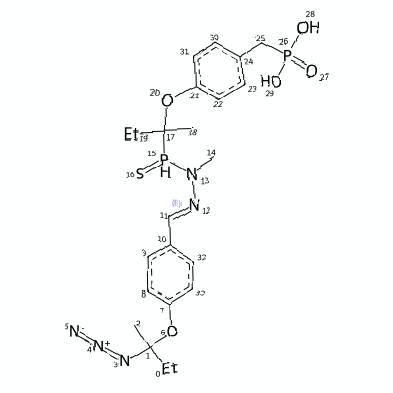 CCC(C)(N=[N+]=[N-])Oc1ccc(/C=N/N(C)[PH](=S)C(C)(CC)Oc2ccc(CP(=O)(O)O)cc2)cc1